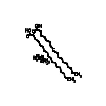 CCCCCCCCCCCCCCCCCC(=O)O.CCCCCCCCCCCCCCCCCC(=O)O.CN.CN